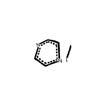 CI.c1cnccn1